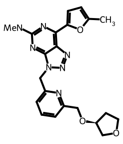 CNc1nc(-c2ccc(C)o2)c2nnn(Cc3cccc(CO[C@H]4CCOC4)n3)c2n1